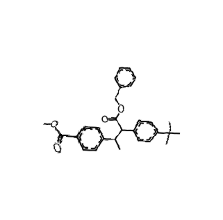 COC(=O)c1ccc(C(C)C(C(=O)OCc2ccccc2)c2ccc(C(C)(C)C)cc2)cc1